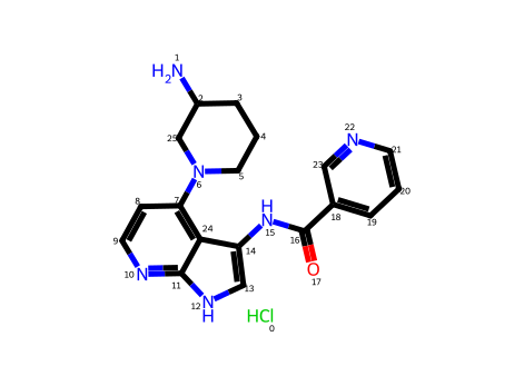 Cl.NC1CCCN(c2ccnc3[nH]cc(NC(=O)c4cccnc4)c23)C1